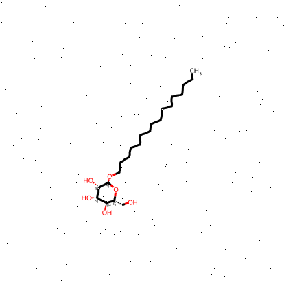 CCCCCCCCCCCCCCCCO[C@H]1O[C@H](CO)[C@@H](O)[C@H](O)[C@@H]1O